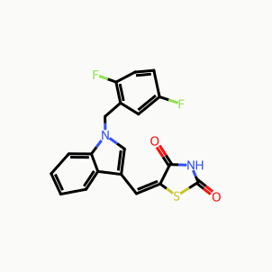 O=C1NC(=O)/C(=C\c2cn(Cc3cc(F)ccc3F)c3ccccc23)S1